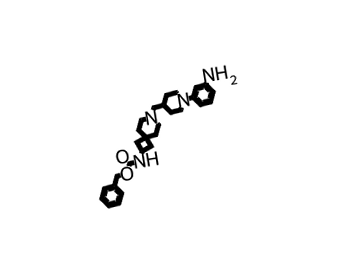 Nc1cccc(N2CCC(CN3CCC4(CC3)CC(NC(=O)OCc3ccccc3)C4)CC2)c1